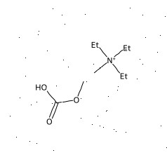 CC[N+](C)(CC)CC.COC(=O)O